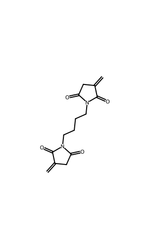 C=C1CC(=O)N(CCCCN2C(=O)CC(=C)C2=O)C1=O